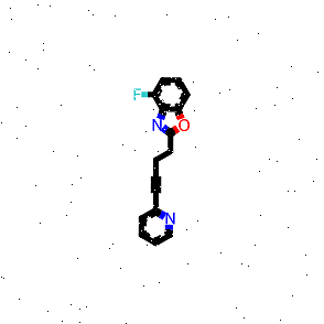 Fc1cccc2oc(CCC#Cc3ccccn3)nc12